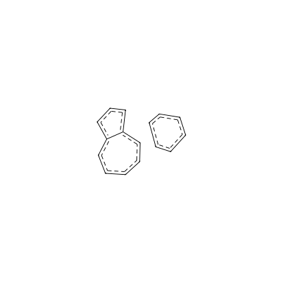 c1ccc2cccc-2cc1.c1ccccc1